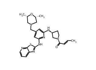 C/C=C/C(=O)N1CC[C@H](Nc2cc(CN3C[C@@H](C)O[C@@H](C)C3)cc(Nc3nc4cccnc4s3)n2)C1